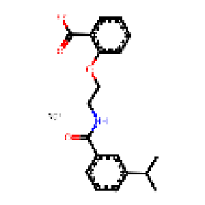 CC(C)c1cccc(C(=O)NCCOc2ccccc2C(=O)[O-])c1.[Na+]